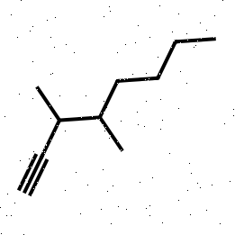 C#CC(C)C(C)CCCC